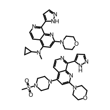 CN(c1cc(N2CCOCC2)nc2c(-c3ccn[nH]3)nccc12)C1CC1.CS(=O)(=O)N1CCN(c2cc(N3CCOCC3)nc3c(-c4ccn[nH]4)nccc23)CC1